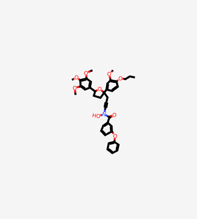 CCCOc1ccc(C2(CC#CN(O)C(=O)c3cccc(Oc4ccccc4)c3)CCC(c3cc(OC)c(OC)c(OC)c3)O2)cc1OC